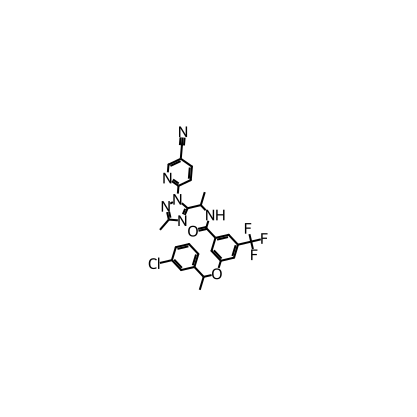 Cc1nc(C(C)NC(=O)c2cc(OC(C)c3cccc(Cl)c3)cc(C(F)(F)F)c2)n(-c2ccc(C#N)cn2)n1